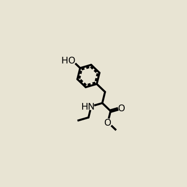 CCNC(Cc1ccc(O)cc1)C(=O)OC